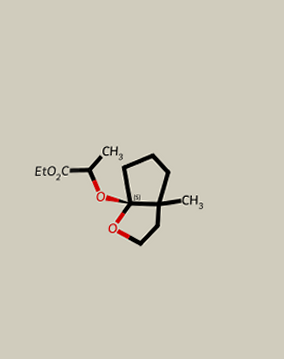 CCOC(=O)C(C)O[C@@]12CCCC1(C)CCO2